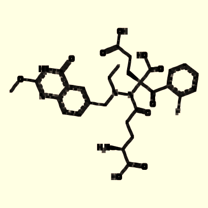 CCN(Cc1ccc2nc(OC)[nH]c(=O)c2c1)N(C(=O)CC[C@H](N)C(=O)O)[C@](CCC(=O)O)(C(=O)O)C(=O)c1ccccc1F